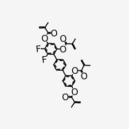 C=C(C)C(=O)Oc1ccc(-c2ccc(-c3c(OC(=O)C(=C)C)cc(OC(=O)C(=C)C)c(F)c3F)cc2)c(OC(=O)C(=C)C)c1